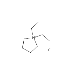 CC[N+]1(CC)CCCC1.[Cl-]